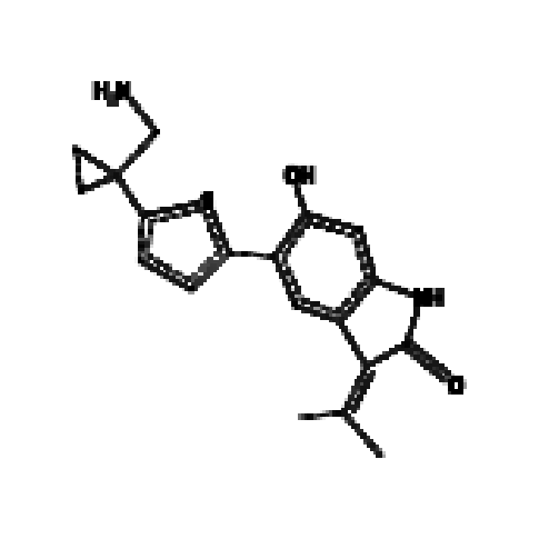 CC(C)=C1C(=O)Nc2cc(O)c(-c3ccc(C4(CN)CC4)s3)cc21